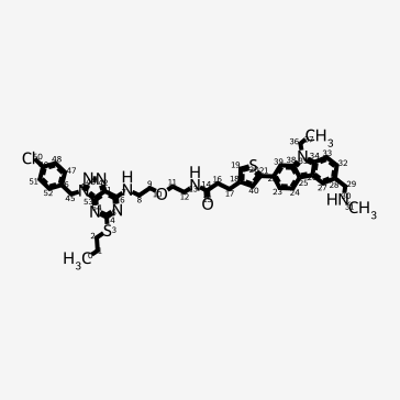 CCCSc1nc(NCCOCCNC(=O)CCc2csc(-c3ccc4c5cc(CNC)ccc5n(CC)c4c3)c2)c2nnn(Cc3ccc(Cl)cc3)c2n1